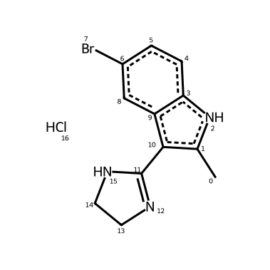 Cc1[nH]c2ccc(Br)cc2c1C1=NCCN1.Cl